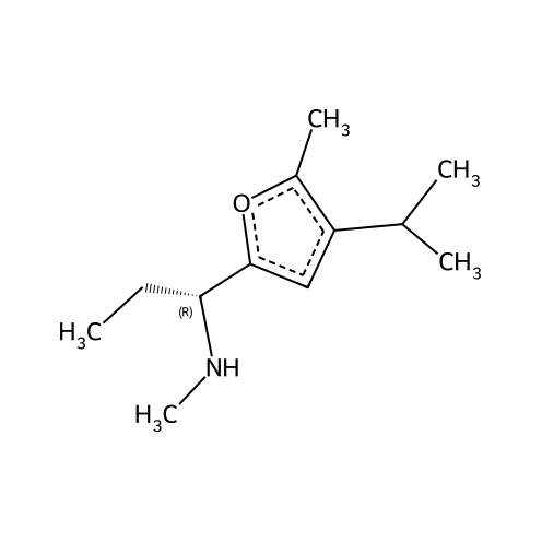 CC[C@@H](NC)c1cc(C(C)C)c(C)o1